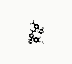 Cc1ccc(C2(c3ncns3)CCN(C(=O)Nc3cc(C(F)F)ccc3N3CCOC3=O)C2)cc1F